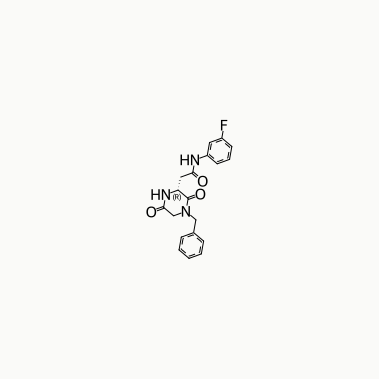 O=C(C[C@H]1NC(=O)CN(Cc2ccccc2)C1=O)Nc1cccc(F)c1